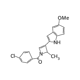 COc1ccc2[nH]c(C3=CN(C(=O)c4ccc(Cl)cc4)C3C)cc2c1